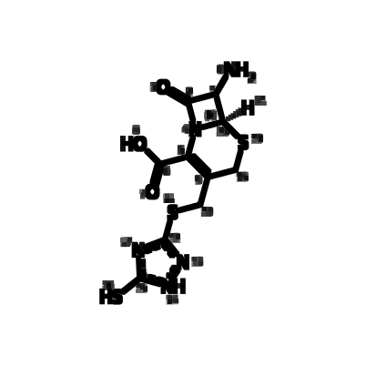 NC1C(=O)N2C(C(=O)O)=C(CSc3n[nH]c(S)n3)CS[C@H]12